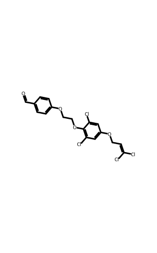 O=Cc1ccc(OCCOc2c(Cl)cc(OCC=C(Cl)Cl)cc2Cl)cc1